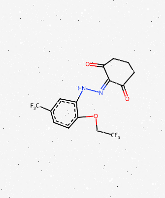 O=C1CCCC(=O)C1=NNc1cc(C(F)(F)F)ccc1OCC(F)(F)F